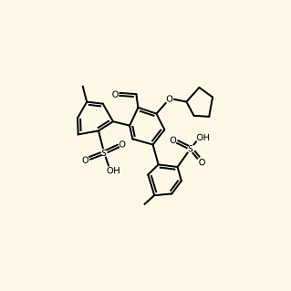 Cc1ccc(S(=O)(=O)O)c(-c2cc(OC3CCCC3)c(C=O)c(-c3cc(C)ccc3S(=O)(=O)O)c2)c1